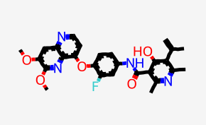 C=C(C)c1c(C)nc(C)c(C(=O)Nc2ccc(Oc3ccnc4cc(OC)c(OC)nc34)c(F)c2)c1O